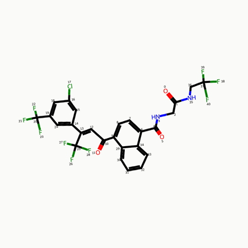 O=C(CNC(=O)c1ccc(C(=O)C=C(c2cc(Cl)cc(C(F)(F)F)c2)C(F)(F)F)c2ccccc12)NCC(F)(F)F